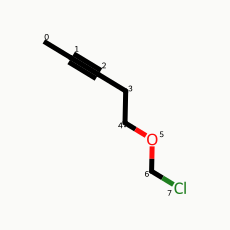 CC#CC[CH]OCCl